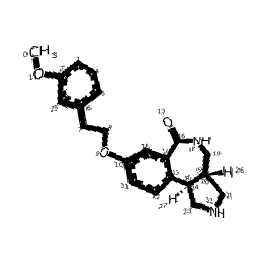 COc1cccc(CCOc2ccc3c(c2)C(=O)NC[C@@H]2CNC[C@@H]32)c1